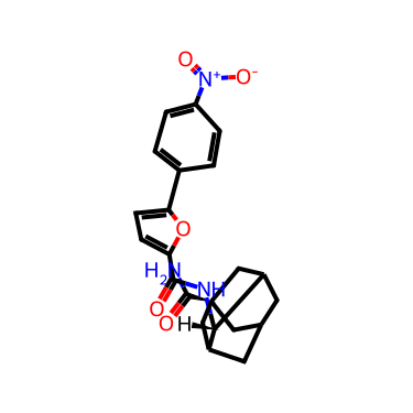 NC(=O)[C@]12CC3CC(C1)[C@@H](NC(=O)c1ccc(-c4ccc([N+](=O)[O-])cc4)o1)C(C3)C2